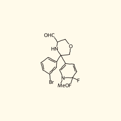 CON1C=C(C2(c3cccc(Br)c3)COCC(C=O)N2)C=CC1(F)F